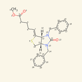 COC(=O)CCCC=C1SC[C@@H]2[C@H]1N(Cc1ccccc1)C(=O)N2Cc1ccccc1